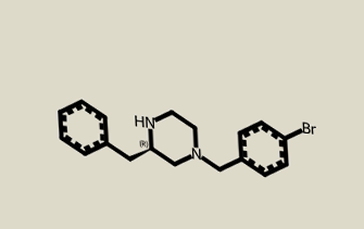 Brc1ccc(CN2CCN[C@H](Cc3ccccc3)C2)cc1